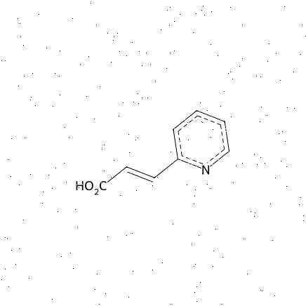 O=C(O)C=Cc1ccccn1